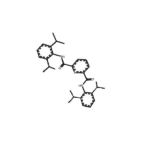 CC(C)c1cccc(C(C)C)c1NC(=O)c1cccc(C(=O)Nc2c(C(C)C)cccc2C(C)C)n1